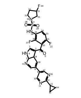 O=C(C1=CNC2N=CC(c3cnc(C4CC4)nc3)=CC12)c1c(F)ccc(NS(=O)(=O)N2CCC(F)C2)c1F